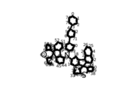 c1ccc(-c2ccc(-c3ccc(N(c4ccc5c(c4)-c4c(ccc6ccccc46)C54c5ccccc5Sc5ccccc54)c4cccc5c4-c4ccccc4C54c5ccccc5Oc5ccccc54)cc3)cc2)cc1